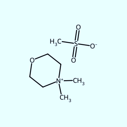 CS(=O)(=O)[O-].C[N+]1(C)CCOCC1